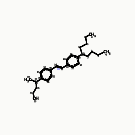 CCCCN(CCCC)c1ccc(/C=C/c2ccc(N(C)CCO)cc2)cc1